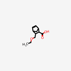 CCOCC1C2C=CC(C2)C1C(=O)O